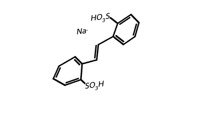 O=S(=O)(O)c1ccccc1C=Cc1ccccc1S(=O)(=O)O.[Na]